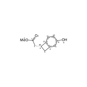 COC(=O)C[C@H]1Cc2cc(O)ccc21